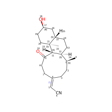 C[C@H]1CC/C(=C\C#N)CCC(=O)[C@H]2[C@H]1CC[C@H]1C[C@H](O)CC[C@@]12C